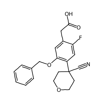 N#CC1(c2cc(F)c(CC(=O)O)cc2OCc2ccccc2)CCOCC1